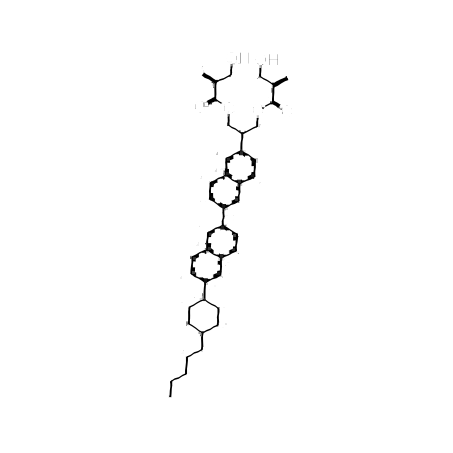 C=C(CO)C(=O)OCC(COC(=O)C(=C)CO)c1ccc2cc(-c3ccc4cc(C5CCC(CCCCC)CC5)ccc4c3)ccc2c1